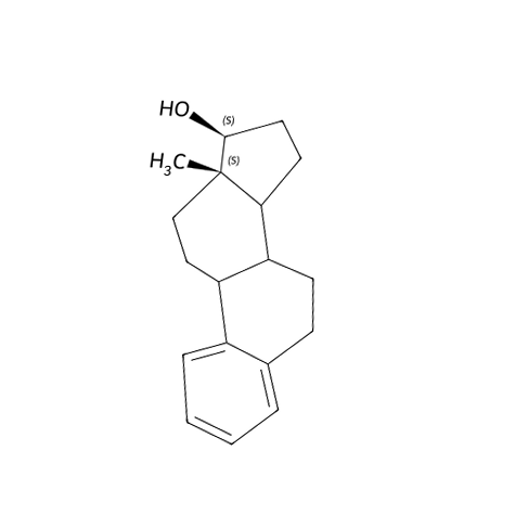 C[C@]12CCC3c4ccccc4CCC3C1CC[C@@H]2O